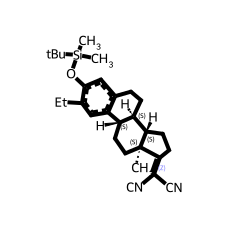 [C-]#[N+]/C(C#N)=C1/CC[C@H]2[C@@H]3CCc4cc(O[Si](C)(C)C(C)(C)C)c(CC)cc4[C@H]3CC[C@]12C